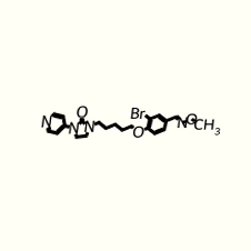 CON=Cc1ccc(OCCCCCN2CCN(c3ccncc3)C2=O)c(Br)c1